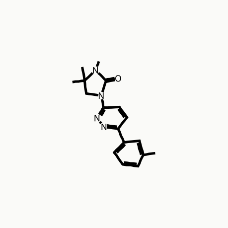 Cc1cccc(-c2ccc(N3CC(C)(C)N(C)C3=O)nn2)c1